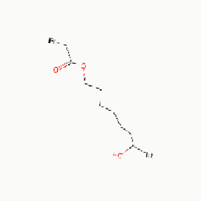 CCC(O)CCCCCCOC(=O)CC(C)C